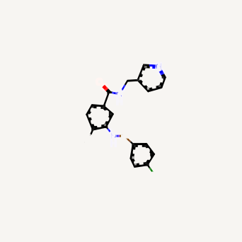 Cc1ccc(C(=O)NCc2cccnc2)cc1NSc1ccc(F)cc1